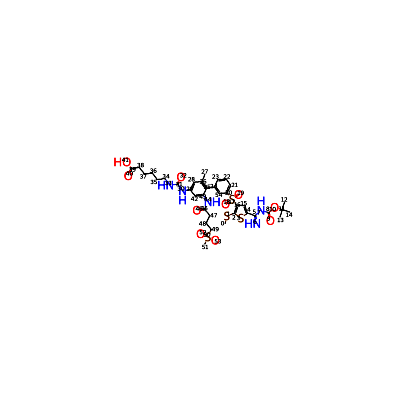 CSc1sc(C(=N)NC(=O)OC(C)(C)C)cc1S(=O)(=O)c1cccc(-c2c(C)cc(NC(=O)NCCCCCC(=O)O)cc2NC(=O)CCCS(C)(=O)=O)c1